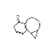 O=C1CC=CC2=C1CCCCC1CC21